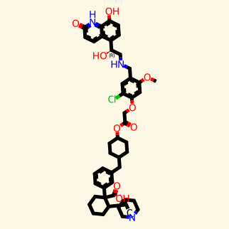 COc1cc(OCC(=O)OC2CCC(Cc3cccc(C4(C(=O)O)CCCCC4C4CN5CCC4CC5)c3)CC2)c(Cl)cc1CNC[C@H](O)c1ccc(O)c2[nH]c(=O)ccc12